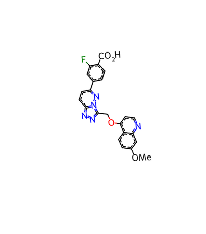 COc1ccc2c(OCc3nnc4ccc(-c5ccc(C(=O)O)c(F)c5)nn34)ccnc2c1